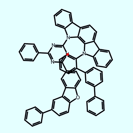 c1ccc(-c2cccc(-c3ccccc3-n3c4ccccc4c4ccc5c6ccccc6n(-c6nc(-c7ccccc7)nc(-c7ccc8oc9ccc(-c%10ccccc%10)cc9c8c7)n6)c5c43)c2)cc1